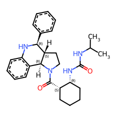 CC(C)NC(=O)N[C@@H]1CCCC[C@@H]1C(=O)N1CC[C@H]2[C@H](c3ccccc3)Nc3ccccc3[C@@H]21